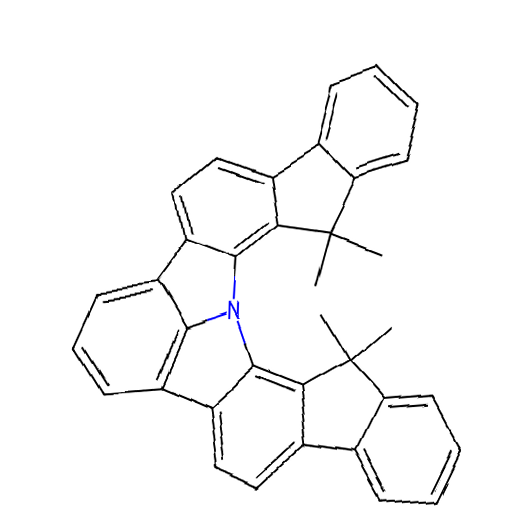 CC1(C)c2ccccc2-c2ccc3c4cccc5c6ccc7c(c6n(c3c21)c45)C(C)(C)c1ccccc1-7